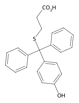 O=C(O)CCSC(c1ccccc1)(c1ccccc1)c1ccc(O)cc1